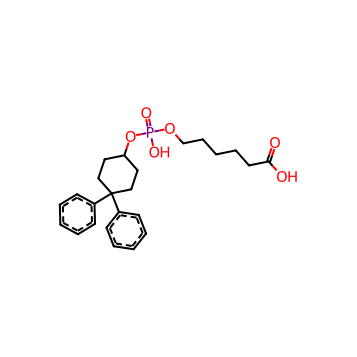 O=C(O)CCCCCOP(=O)(O)OC1CCC(c2ccccc2)(c2ccccc2)CC1